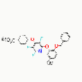 CCOC(=O)C1CCC(Oc2c(F)c(F)nc(Oc3cc(C#N)ccc3OCc3ccccc3)c2F)CC1